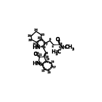 CN(C)C(=O)CCc1c(C=C2C(=O)Nc3ccccc32)[nH]c2c1CCCC2